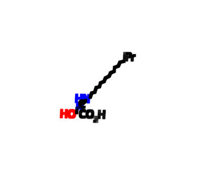 CC(C)CCCCCCCCCCCCCCCNCCN(CCO)CC(=O)O